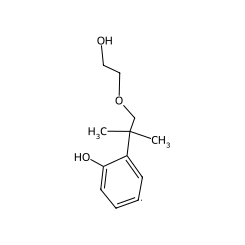 CC(C)(COCCO)c1c[c]ccc1O